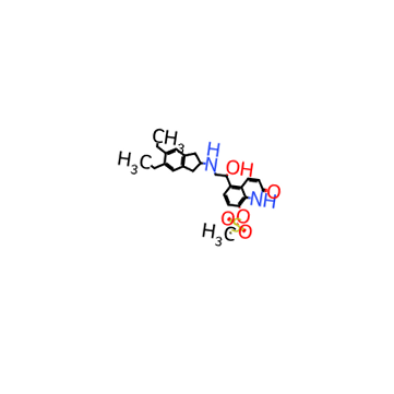 CCc1cc2c(cc1CC)CC(NCC(O)c1ccc(OS(C)(=O)=O)c3[nH]c(=O)ccc13)C2